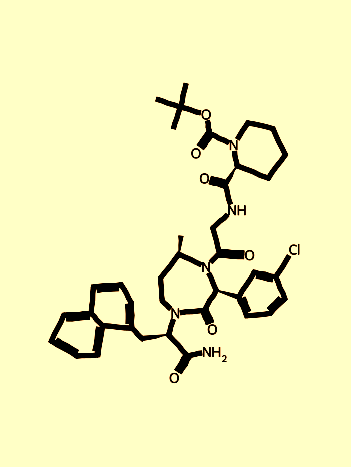 C[C@@H]1CCN([C@H](Cc2cccc3ccccc23)C(N)=O)C(=O)[C@H](c2cccc(Cl)c2)N1C(=O)CNC(=O)[C@@H]1CCCCN1C(=O)OC(C)(C)C